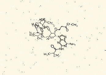 COC(=O)CCOC1C2O[Si](C(C)C)(C(C)C)O[Si](C(C)C)(C(C)C)OC[C@H]2O[C@H]1n1cnc2c(N)nc(NC(=O)C(C)C)nc21